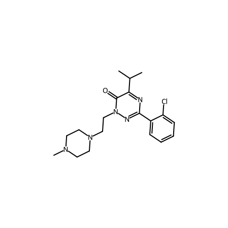 CC(C)c1nc(-c2ccccc2Cl)nn(CCN2CCN(C)CC2)c1=O